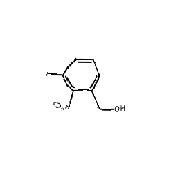 O=[N+]([O-])c1c(I)cccc1[CH]O